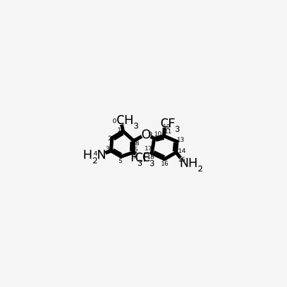 Cc1cc(N)cc(C(F)(F)F)c1Oc1c(C(F)(F)F)cc(N)cc1C(F)(F)F